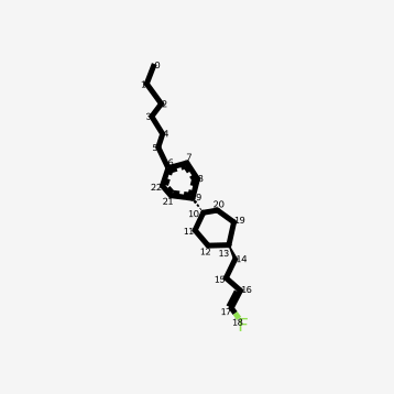 CCCCCCc1ccc([C@H]2CC[C@H](CC/C=C/F)CC2)cc1